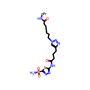 CCCNC(=O)CCCCCn1cc(CCCC(=O)Nc2nnc(S(N)(=O)=O)s2)nn1